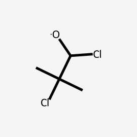 CC(C)(Cl)C([O])Cl